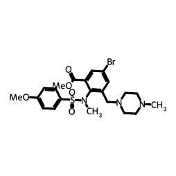 COC(=O)c1cc(Br)cc(CN2CCN(C)CC2)c1N(C)S(=O)(=O)c1ccc(OC)cc1